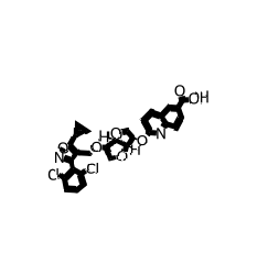 O=C(O)c1ccc2nc(O[C@@H]3CO[C@@H]4C(OCc5c(-c6c(Cl)cccc6Cl)noc5C5CC5)CO[C@@H]43)ccc2c1